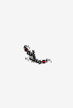 COC12CCC(c3ccc(CC(=O)NC(CCCN)OBOC(CCCN)NC(=O)Cc4ccc(C56CCC(OC)(CC5)CC6)cc4)cc3)(CC1)CC2